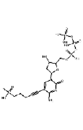 CP(=O)(O)CCCC#Cc1cn(C2CC(O)C(COP(=O)(O)OP(=O)(O)OP(=O)(O)O)O2)c(=O)nc1N